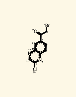 O=C(CBr)c1ccc2nc(Cl)cnc2c1